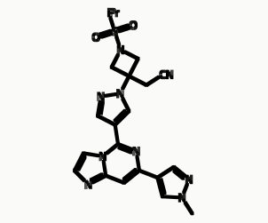 CC(C)S(=O)(=O)N1CC(CC#N)(n2cc(-c3nc(-c4cnn(C)c4)cc4nccn34)cn2)C1